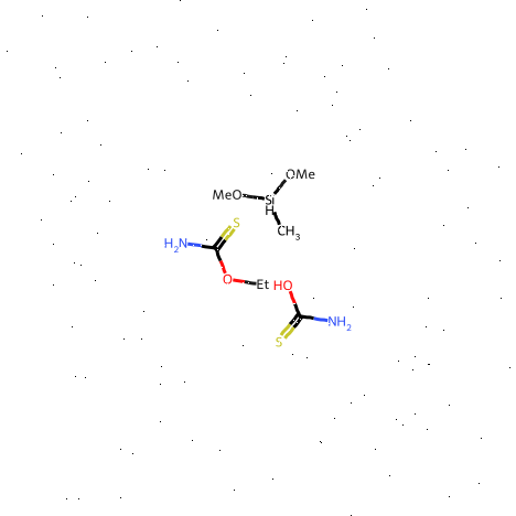 CCOC(N)=S.CO[SiH](C)OC.NC(O)=S